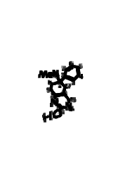 CNC1(c2ccccc2)CCc2nc(O)ncc2C1